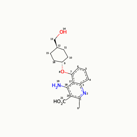 Cc1nc2cccc(O[C@H]3CC[C@H](CO)CC3)c2c(N)c1C(=O)O